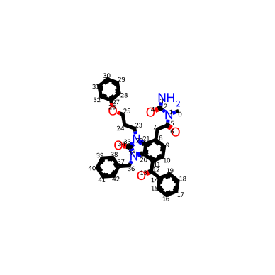 CN(C(N)=O)C(=O)Cc1ccc(C(=O)c2ccccc2)c2c1n(CCCOc1ccccc1)c(=O)n2Cc1ccccc1